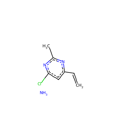 C=Cc1cc(Cl)nc(C)n1.N